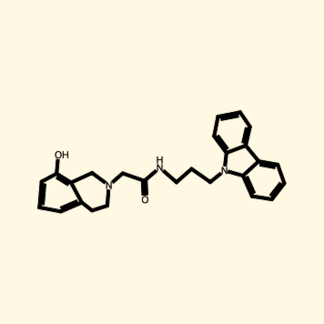 O=C(CN1CCc2cccc(O)c2C1)NCCCn1c2ccccc2c2ccccc21